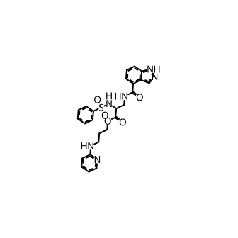 O=C(NCC(NS(=O)(=O)c1ccccc1)C(=O)OCCCNc1ccccn1)c1cccc2[nH]ncc12